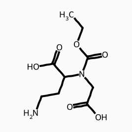 CCOC(=O)N(CC(=O)O)C(CCN)C(=O)O